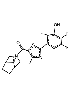 Cc1nc(-c2cc(F)c(F)c(O)c2F)sc1C(=O)N1CC2CCC(C1)C2=O